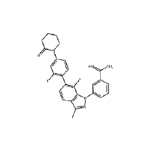 Cc1nn(-c2cccc(C(=N)N)c2)c2c(F)c(-c3ccc(N4CCCCC4=O)cc3F)ccc12